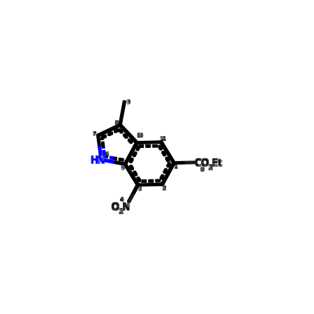 CCOC(=O)c1cc([N+](=O)[O-])c2[nH]cc(C)c2c1